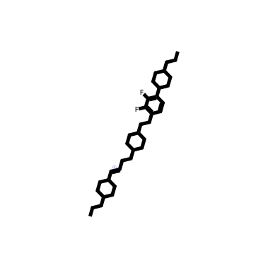 CCCC1CCC(/C=C/CCC2CCC(CCc3ccc(C4CCC(CCC)CC4)c(F)c3F)CC2)CC1